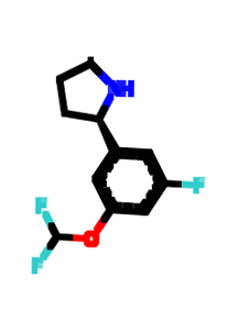 Fc1cc(OC(F)F)cc([C@H]2CC[CH]N2)c1